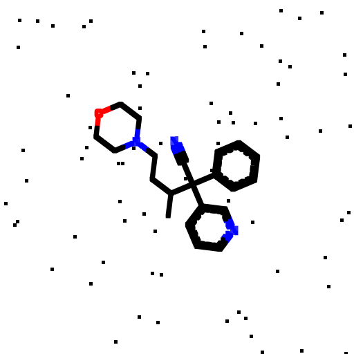 CC(CCN1CCOCC1)C(C#N)(c1ccccc1)c1cccnc1